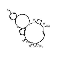 CC1(C)CC/C=C/[C@H](O)[C@@H]2CC[C@H]2CN2CCCCc3cc(Cl)ccc3COc3ccc(cc32)C(=O)NS1(=O)=O